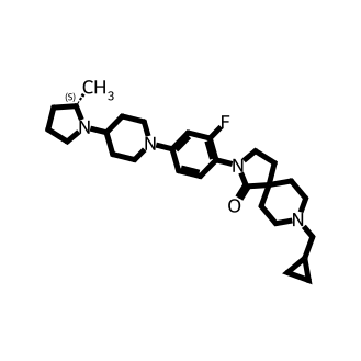 C[C@H]1CCCN1C1CCN(c2ccc(N3CCC4(CCN(CC5CC5)CC4)C3=O)c(F)c2)CC1